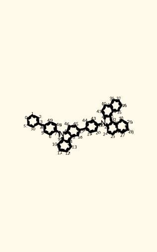 c1ccc(-c2ccc(-n3c4ccccc4c4cc(-c5ccc(-n6c7ccc8ccccc8c7c7c8ccccc8ccc76)cc5)ccc43)cc2)cc1